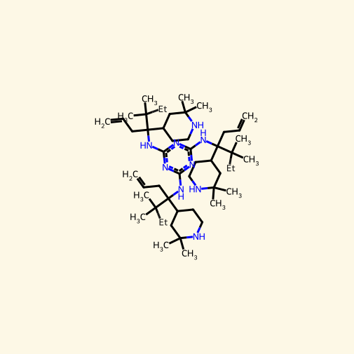 C=CCC(Nc1nc(NC(CC=C)(C2CCNC(C)(C)C2)C(C)(C)CC)nc(NC(CC=C)(C2CCNC(C)(C)C2)C(C)(C)CC)n1)(C1CCNC(C)(C)C1)C(C)(C)CC